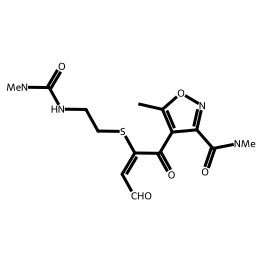 CNC(=O)NCCS/C(=C/C=O)C(=O)c1c(C(=O)NC)noc1C